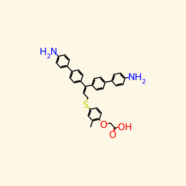 Cc1cc(SCC=C(c2ccc(-c3ccc(N)cc3)cc2)c2ccc(-c3ccc(N)cc3)cc2)ccc1OCC(=O)O